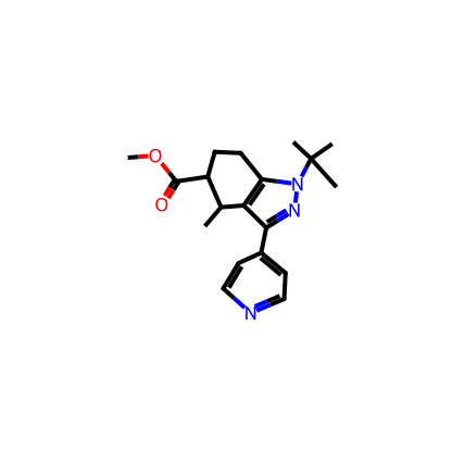 COC(=O)C1CCc2c(c(-c3ccncc3)nn2C(C)(C)C)C1C